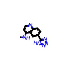 CNc1ccnc2ccc(-c3nnn[nH]3)cc12